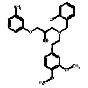 COc1ccc(CCN(Cc2ccccc2Cl)CC(O)COc2cccc(C)c2)cc1OC